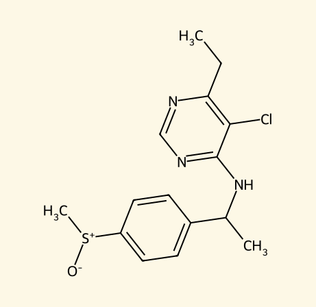 CCc1ncnc(NC(C)c2ccc([S+](C)[O-])cc2)c1Cl